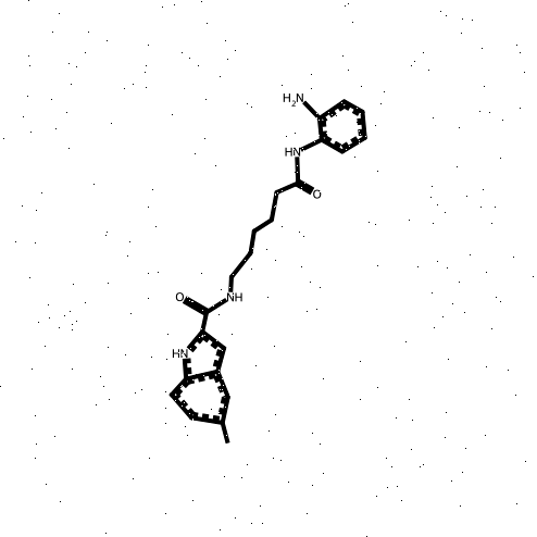 Cc1ccc2[nH]c(C(=O)NCCCCCC(=O)Nc3ccccc3N)cc2c1